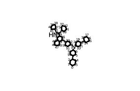 c1ccc(-c2ccc(N(c3ccc(-c4ccccc4)cc3)c3ccc(-c4cc5c(-c6ccccc6)c(-c6ccccc6)[nH]c5c5ccccc45)cc3)cc2)cc1